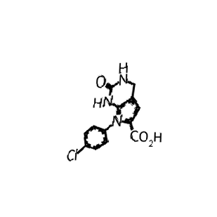 O=C1NCc2cc(C(=O)O)n(-c3ccc(Cl)cc3)c2N1